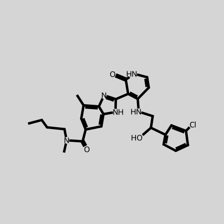 CCCCN(C)C(=O)c1cc(C)c2nc(-c3c(NCC(O)c4cccc(Cl)c4)cc[nH]c3=O)[nH]c2c1